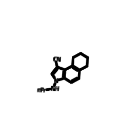 CCCNn1cc(C#N)c2c3c(ccc21)CCCC3